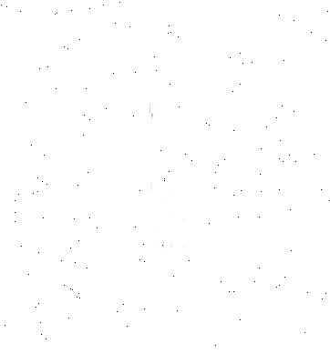 CCCCCOC(=O)c1ccc([C@H]2CC[C@H](CC)CC2)cc1